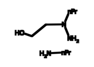 CCCN.CCCN(N)CCO